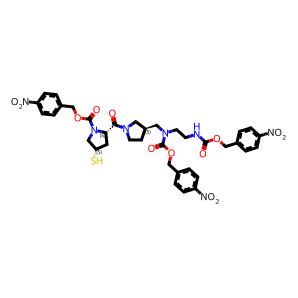 O=C(NCCN(C[C@H]1CCN(C(=O)[C@@H]2C[C@H](S)CN2C(=O)OCc2ccc([N+](=O)[O-])cc2)C1)C(=O)OCc1ccc([N+](=O)[O-])cc1)OCc1ccc([N+](=O)[O-])cc1